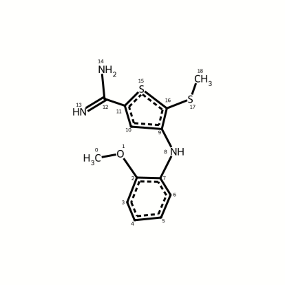 COc1ccccc1Nc1cc(C(=N)N)sc1SC